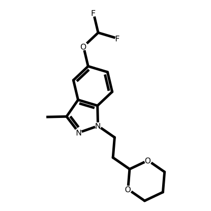 Cc1nn(CCC2OCCCO2)c2ccc(OC(F)F)cc12